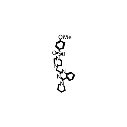 COc1ccc(S(=O)(=O)N2CCN(Cc3nc(N4CCCCC4)c4ccccc4n3)CC2)cc1